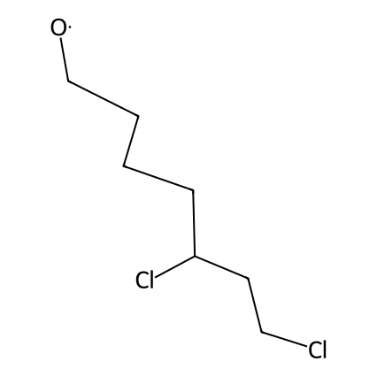 [O]CCCCC(Cl)CCCl